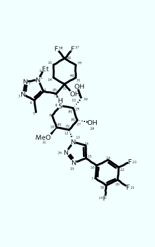 CCn1nnc(C)c1[C@@H]([SH]1C[C@H](OC)[C@@H](n2cc(-c3cc(F)c(F)c(F)c3)nn2)[C@@H](O)[C@H]1CO)C1(O)CCC(F)(F)CC1